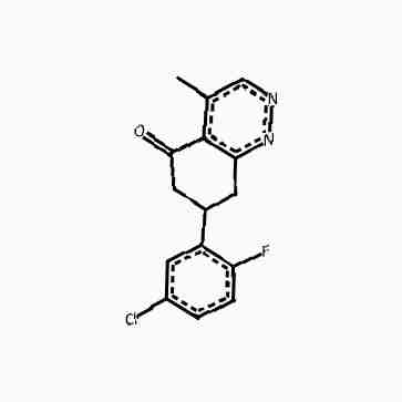 Cc1cnnc2c1C(=O)CC(c1cc(Cl)ccc1F)C2